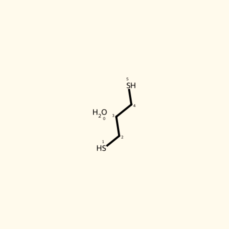 O.SCCCS